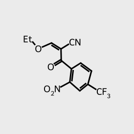 CCO/C=C(/C#N)C(=O)c1ccc(C(F)(F)F)cc1[N+](=O)[O-]